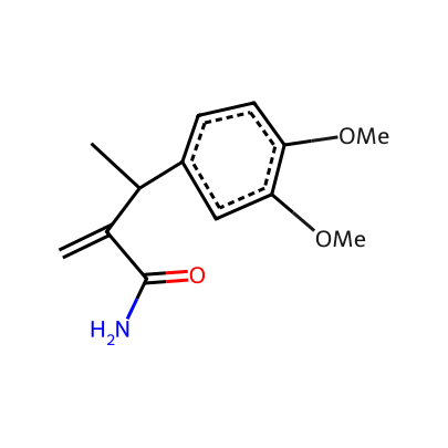 C=C(C(N)=O)C(C)c1ccc(OC)c(OC)c1